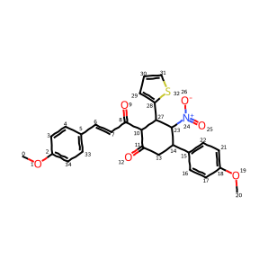 COc1ccc(/C=C/C(=O)C2C(=O)CC(c3ccc(OC)cc3)C([N+](=O)[O-])C2c2cccs2)cc1